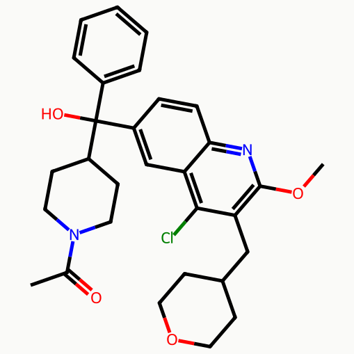 COc1nc2ccc(C(O)(c3ccccc3)C3CCN(C(C)=O)CC3)cc2c(Cl)c1CC1CCOCC1